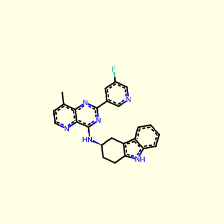 Cc1ccnc2c(N[C@@H]3CCc4[nH]c5ccccc5c4C3)nc(-c3cncc(F)c3)nc12